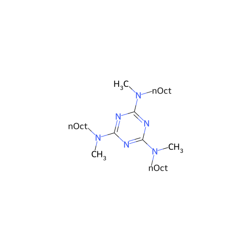 CCCCCCCCN(C)c1nc(N(C)CCCCCCCC)nc(N(C)CCCCCCCC)n1